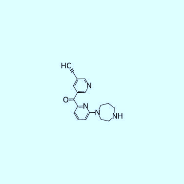 C#Cc1cncc(C(=O)c2cccc(N3CCCNCC3)n2)c1